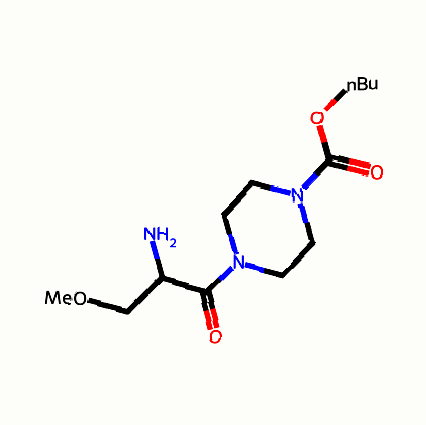 CCCCOC(=O)N1CCN(C(=O)C(N)COC)CC1